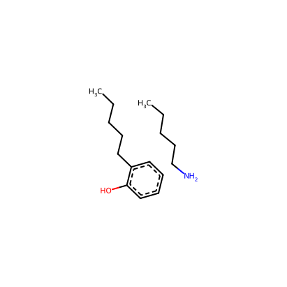 CCCCCN.CCCCCc1ccccc1O